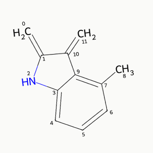 C=c1[nH]c2cccc(C)c2c1=C